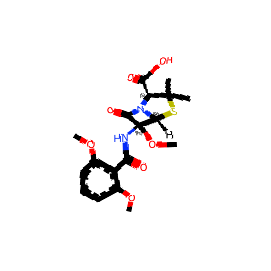 COc1cccc(OC)c1C(=O)N[C@@]1(OC)C(=O)N2[C@@H](C(=O)O)C(C)(C)S[C@@H]21